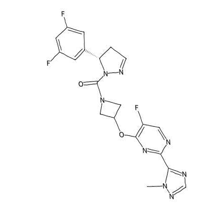 Cn1ncnc1-c1ncc(F)c(OC2CN(C(=O)N3N=CC[C@H]3c3cc(F)cc(F)c3)C2)n1